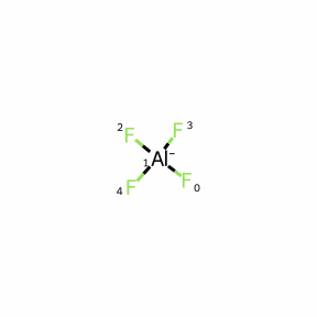 [F][Al-]([F])([F])[F]